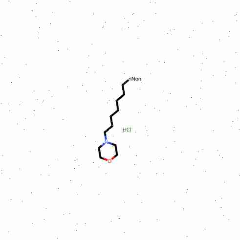 CCCCCCCCCCCCCCCCN1CCOCC1.Cl